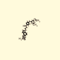 CCOC(CC(=O)OC)Cc1ccc(NCCCn2ccc3cc(OS(C)(=O)=O)ccc32)cc1